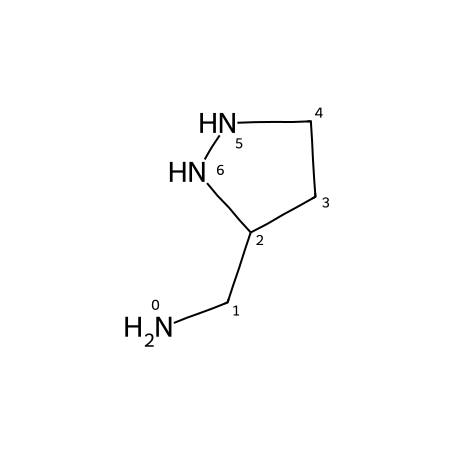 NCC1CCNN1